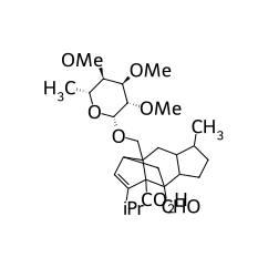 CO[C@H]1[C@H](OC)[C@H](OCC23CC4C(C)CCC4C4(C=O)CC2C=C(C(C)C)C43C(=O)O)O[C@H](C)[C@H]1OC